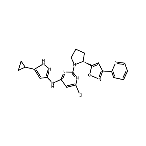 Clc1cc(Nc2cc(C3CC3)[nH]n2)nc(N2CCC[C@H]2c2cc(-c3ccccn3)no2)n1